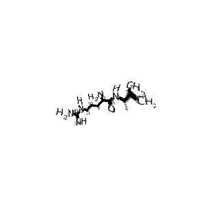 C=C(C)CNC(=O)C(N)CCCNC(=N)N